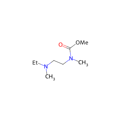 CCN(C)CCN(C)C(=O)OC